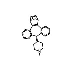 CN1CCC(=C2c3ccccc3C3=C(c4ccccc42)C2C=CC3O2)CC1